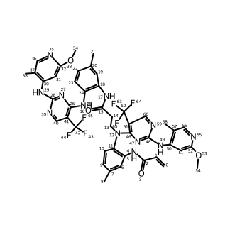 C=CC(=O)Nc1cc(C)ccc1N(CCC(=O)Nc1cc(C)ccc1Nc1nc(Nc2cc(OC)ncc2C)ncc1C(F)(F)F)c1nc(Nc2cc(OC)ncc2C)ncc1C(F)(F)F